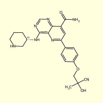 CC(O)(C#N)COc1ccc(-c2cc(C(N)=O)c3ncnc(N[C@H]4CCCNC4)c3n2)cc1